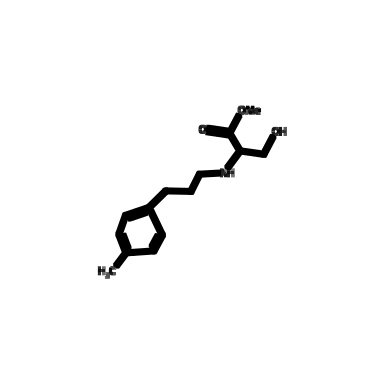 COC(=O)C(CO)NCCCc1ccc(C)cc1